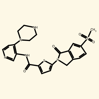 CS(=O)(=O)c1ccc2c(c1)C(=O)N(c1ccc(C(=O)Nc3cnccc3N3CCNCC3)s1)C2